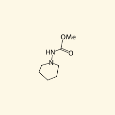 COC(=O)NN1CCCCC1